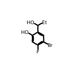 CCC(O)c1cc(Br)c(F)cc1O